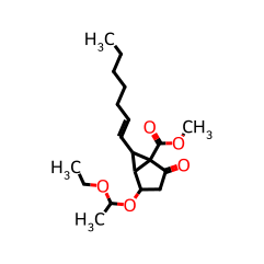 CCCCC/C=C/C1C2C(OC(C)OCC)CC(=O)C12C(=O)OC